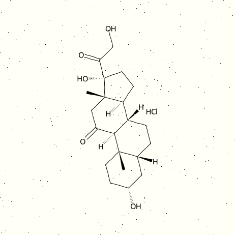 C[C@]12CC[C@@H](O)C[C@H]1CC[C@@H]1[C@@H]2C(=O)C[C@@]2(C)[C@H]1CC[C@]2(O)C(=O)CO.Cl